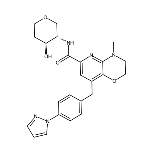 CN1CCOc2c(Cc3ccc(-n4cccn4)cc3)cc(C(=O)N[C@H]3COCC[C@@H]3O)nc21